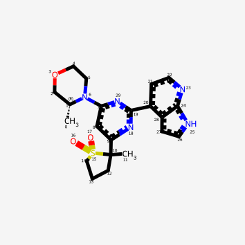 C[C@@H]1COCCN1c1cc(C2(C)CCCS2(=O)=O)nc(-c2ccnc3[nH]ccc23)n1